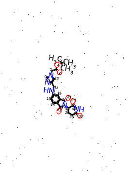 CC(C)(C)OC(=O)Cn1cnc(CNc2ccc3c(c2)C(=O)N(C2CCC(=O)NC2=O)C3=O)c1